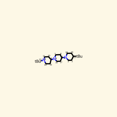 CC(C)(C)C1CCN(C2CCN(C3CCN(C(C)(C)C)CC3)CC2)CC1